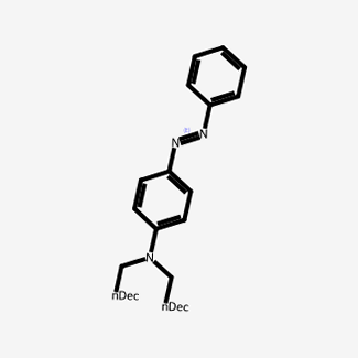 CCCCCCCCCCCN(CCCCCCCCCCC)c1ccc(/N=N/c2ccccc2)cc1